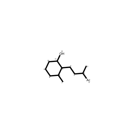 CC(=O)C(C)CCC1C(C)CCCC1O